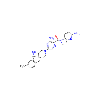 Cc1ccc2c(c1)[C@@H](N)C1(CCN(c3cnc(C(=O)N4CCc5nc(N)ccc54)c(N)n3)CC1)C2